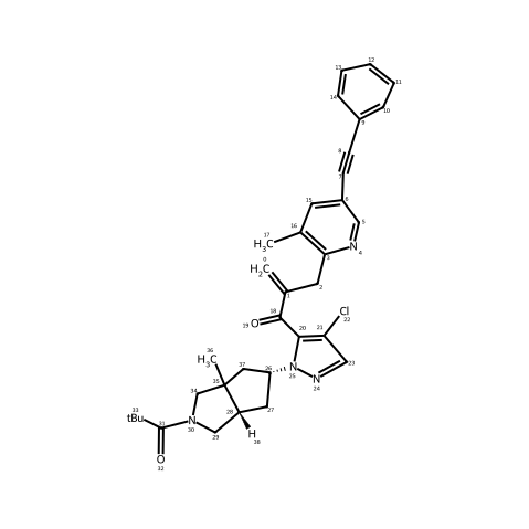 C=C(Cc1ncc(C#Cc2ccccc2)cc1C)C(=O)c1c(Cl)cnn1[C@@H]1C[C@@H]2CN(C(=O)C(C)(C)C)CC2(C)C1